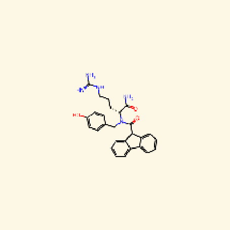 N=C(N)NCCC[C@H](C(N)=O)N(Cc1ccc(O)cc1)C(=O)C1c2ccccc2-c2ccccc21